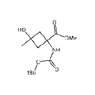 COC(=O)C1(NC(=O)OC(C)(C)C)CC(C)(O)C1